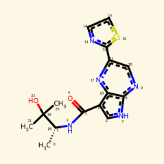 C[C@@H](NC(=O)c1c[nH]c2ncc(-c3nccs3)nc12)C(C)(C)O